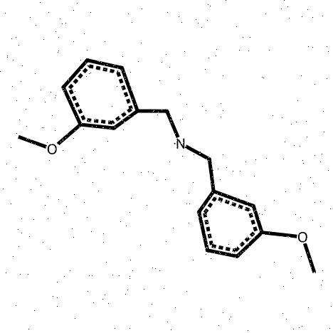 COc1cccc(C[N]Cc2cccc(OC)c2)c1